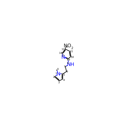 Cn1cccc1CCNc1ccc([N+](=O)[O-])cn1